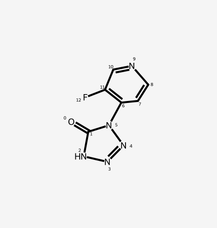 O=c1[nH]nnn1-c1ccncc1F